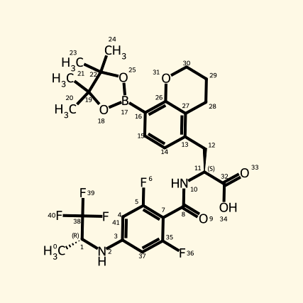 C[C@@H](Nc1cc(F)c(C(=O)N[C@@H](Cc2ccc(B3OC(C)(C)C(C)(C)O3)c3c2CCCO3)C(=O)O)c(F)c1)C(F)(F)F